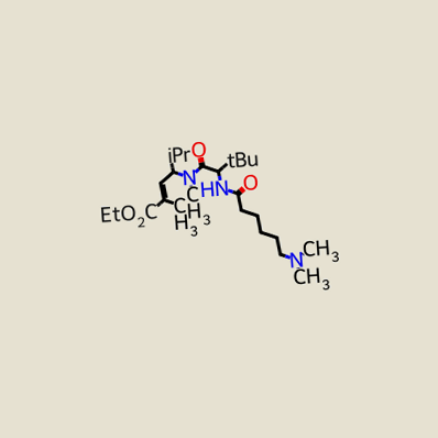 CCOC(=O)/C(C)=C/C(C(C)C)N(C)C(=O)C(NC(=O)CCCCCN(C)C)C(C)(C)C